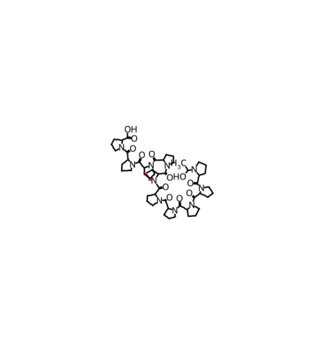 CC(O)N1CCCC1C(=O)N1CCCC1C(=O)N1CCCC1C(=O)N1CCCC1C(=O)N1CCCC1C(=O)N1CCCC1C(=O)N1CCCC1C(=O)N1CCCC1C(=O)N1CCCC1C(=O)N1CCCC1C(=O)O